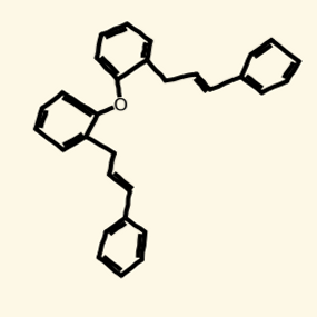 C(=Cc1ccccc1)Cc1ccccc1Oc1ccccc1CC=Cc1ccccc1